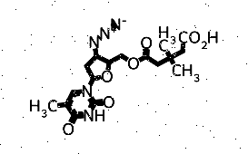 Cc1cn(C2CC(N=[N+]=[N-])C(COC(=O)CC(C)(C)CC(=O)O)O2)c(=O)[nH]c1=O